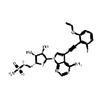 CCOc1cccc(F)c1C#Cc1cn(C2O[C@H](CNS(N)(=O)=O)[C@@H](O)[C@H]2O)c2ncnc(N)c12